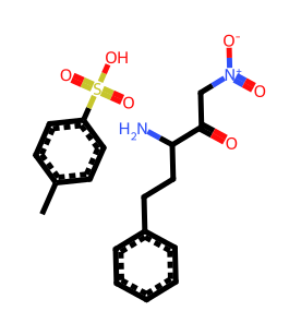 Cc1ccc(S(=O)(=O)O)cc1.NC(CCc1ccccc1)C(=O)C[N+](=O)[O-]